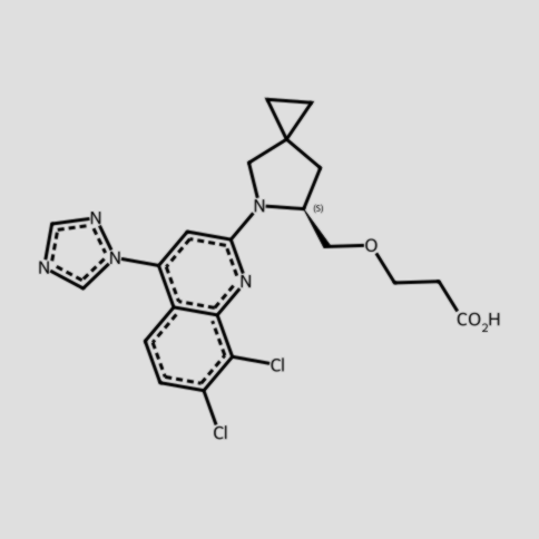 O=C(O)CCOC[C@@H]1CC2(CC2)CN1c1cc(-n2cncn2)c2ccc(Cl)c(Cl)c2n1